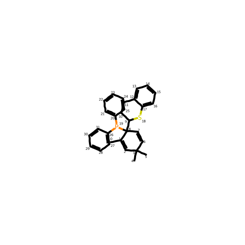 CC1=CC(C)(C)C=CC1(C1CCc2ccccc2S1)P(c1ccccc1)c1ccccc1